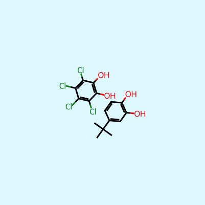 CC(C)(C)c1ccc(O)c(O)c1.Oc1c(O)c(Cl)c(Cl)c(Cl)c1Cl